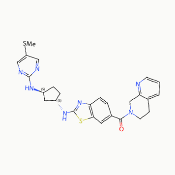 CSc1cnc(N[C@H]2CC[C@H](Nc3nc4ccc(C(=O)N5CCc6cccnc6C5)cc4s3)C2)nc1